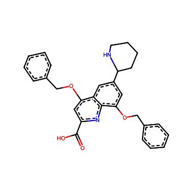 O=C(O)c1cc(OCc2ccccc2)c2cc(C3CCCCN3)cc(OCc3ccccc3)c2n1